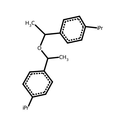 CC(C)c1ccc(C(C)OC(C)c2ccc(C(C)C)cc2)cc1